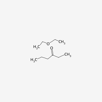 CCCC(=O)CC.CCOCC